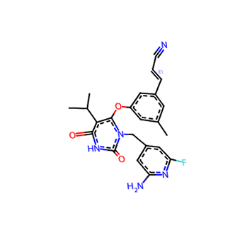 Cc1cc(/C=C/C#N)cc(Oc2c(C(C)C)c(=O)[nH]c(=O)n2Cc2cc(N)nc(F)c2)c1